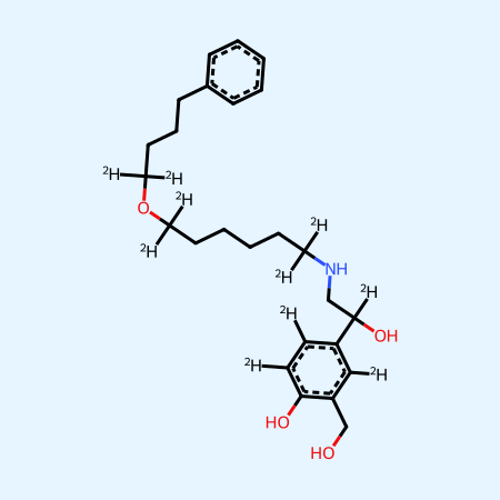 [2H]c1c([2H])c(C([2H])(O)CNC([2H])([2H])CCCCC([2H])([2H])OC([2H])([2H])CCCc2ccccc2)c([2H])c(CO)c1O